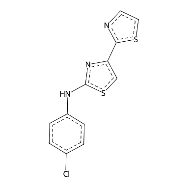 Clc1ccc(Nc2nc(-c3nccs3)cs2)cc1